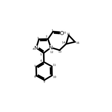 O=Cc1cnc(-c2ccccc2)n1CC1CC1